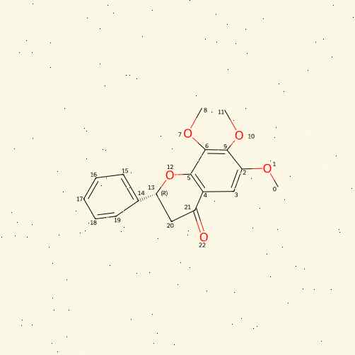 COc1cc2c(c(OC)c1OC)O[C@@H](c1ccccc1)CC2=O